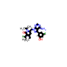 C/C=c1/cc(Cn2nc(-c3cc(O)cc(F)c3)c3c(N)ncnc32)n(C(C)C)c(=O)/c1=C(/C)F